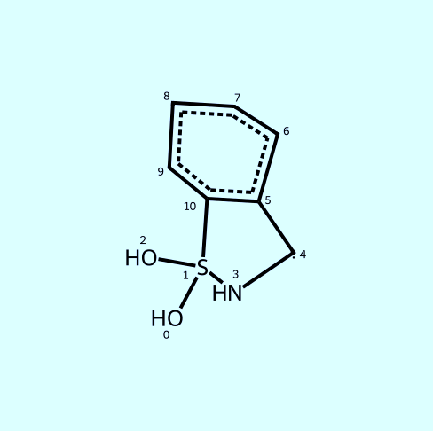 OS1(O)N[CH]c2ccccc21